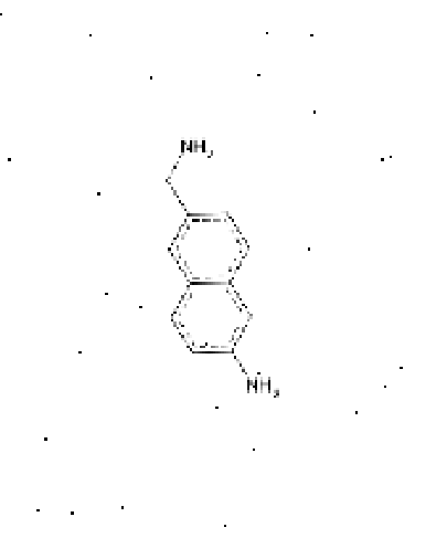 NCc1ccc2cc(N)ccc2c1